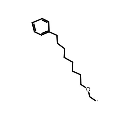 [CH2]COCCCCCCCCc1ccccc1